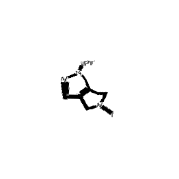 CC(C)n1ncc2c1CN(I)C2